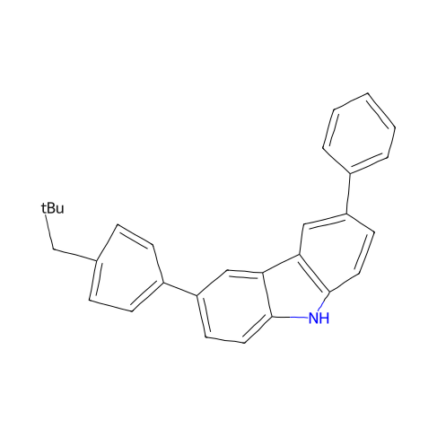 CC(C)(C)Cc1ccc(-c2ccc3[nH]c4ccc(-c5ccccc5)cc4c3c2)cc1